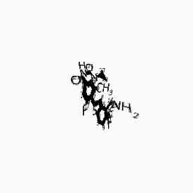 Cc1c(-c2cc3c(s2)CCC(F)(F)C3CN)c(F)cc2c(=O)[nH]c(=O)n(C3CC3)c12